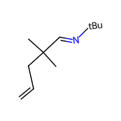 C=CCC(C)(C)C=NC(C)(C)C